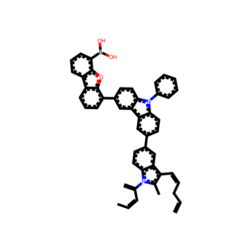 C=CC/C=C\c1c(C)n(C(=C)/C=C\C)c2ccc(-c3ccc4c(c3)c3cc(-c5cccc6c5oc5c(B(O)O)cccc56)ccc3n4-c3ccccc3)cc12